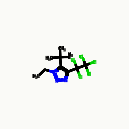 CCn1nnc(C(Cl)(Cl)C(Cl)(Cl)Cl)c1C(C)(C)C